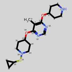 Cc1c(OC2CCNCC2)ncnc1OC1CCN(SC2CC2)CC1